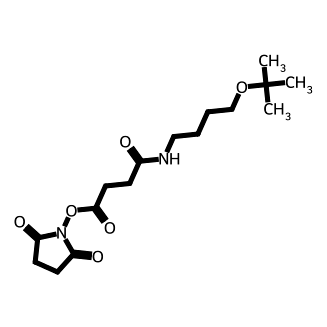 CC(C)(C)OCCCCNC(=O)CCC(=O)ON1C(=O)CCC1=O